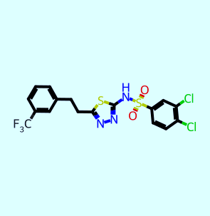 O=S(=O)(Nc1nnc(CCc2cccc(C(F)(F)F)c2)s1)c1ccc(Cl)c(Cl)c1